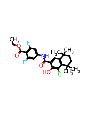 CCOC(=O)c1c(F)cc(NC(=O)c2cc3c(c(Cl)c2O)C(C)(C)CCC3(C)C)cc1F